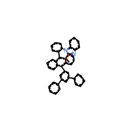 CCc1nc2ccccc2n1-c1ccccc1-c1c2ccccc2c(-c2cc(-c3ccccc3)cc(-c3ccccc3)c2)c2ccccc12